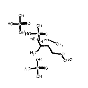 CCCC.CCCCC(C)CCNC=O.O=P(O)(O)O.O=P(O)(O)O.O=P(O)(O)O